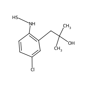 CC(C)(O)Cc1cc(Cl)ccc1NS